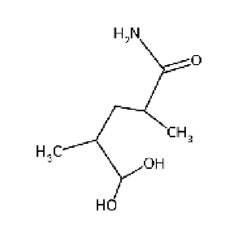 CC(CC(C)C(O)O)C(N)=O